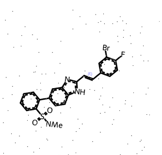 CNS(=O)(=O)c1ccccc1-c1ccc2[nH]c(/C=C/c3ccc(F)c(Br)c3)nc2c1